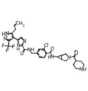 C=CCc1[nH]nc(C(F)(F)F)c1-c1cnc(C(=O)NCc2ccc(C(=O)NC3C4CN(C(=O)C5CCNCC5)CC43)c(Cl)c2)[nH]1